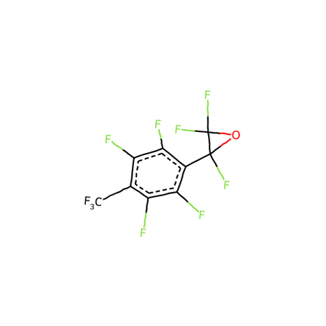 Fc1c(F)c(C2(F)OC2(F)F)c(F)c(F)c1C(F)(F)F